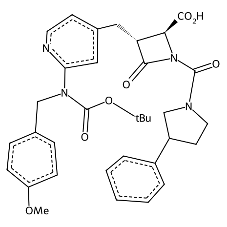 COc1ccc(CN(C(=O)OC(C)(C)C)c2cc(C[C@H]3C(=O)N(C(=O)N4CCC(c5ccccc5)C4)[C@@H]3C(=O)O)ccn2)cc1